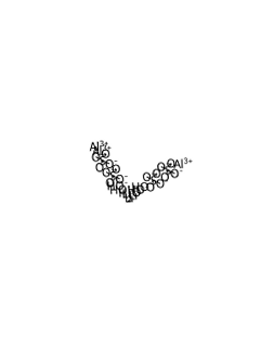 O.O=S(=O)([O-])[O-].O=S(=O)([O-])[O-].O=S(=O)([O-])[O-].O=S(=O)([O-])[O-].[Al+3].[Al+3].[Al+3].[Li+].[Li+].[Li+].[OH-].[OH-].[OH-].[OH-]